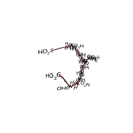 O=CC(CCCCCCCCCCCCCCCCCC(=O)O)CNC[C@H]1CC[C@H](C(=O)N[C@@H](CCC(=O)NCCOCCOCC(=O)NCCOCCOCC(=O)NCCCC[C@H](NC(=O)COCCOCCNC(=O)COCCOCCNC(=O)CC[C@H](NC(=O)[C@H]2CC[C@H](CNC(=O)CCCCCCCCCCCCCCCCCCC(=O)O)CC2)C(=O)O)C(=O)NCCCC[C@H](NP)C(=O)O)C(=O)O)CC1